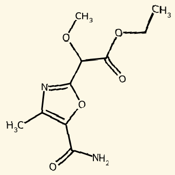 CCOC(=O)C(OC)c1nc(C)c(C(N)=O)o1